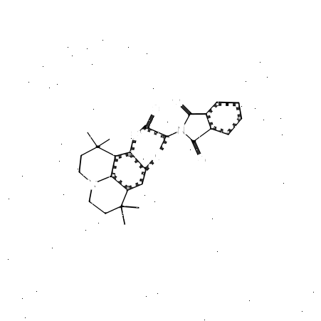 CC1(C)CCN2CCC(C)(C)c3c2c1cc1cc(N2C(=O)c4ccccc4C2=O)c(=O)oc31